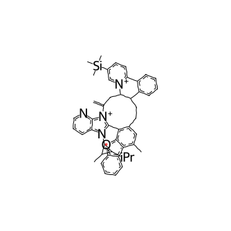 C=C1CC2C(CCc3cc(C)c4c(oc5ccccc54)c3-c3n(C4=C(C(C)C)C4C)c4cccnc4[n+]31)c1ccccc1-c1ccc([Si](C)(C)C)c[n+]12